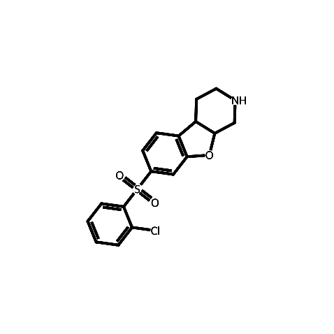 O=S(=O)(c1ccc2c(c1)OC1CNCCC21)c1ccccc1Cl